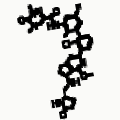 COc1nc(-c2cccc(-c3cc(F)cc(NC(=O)C4=NN(C)C(=O)N(C)C4)c3C)c2Cl)cc2c1[C@@H](NC[C@@H]1CCC(=O)N1)CC2